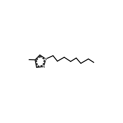 CCCCCCCCn1cc(C)cn1